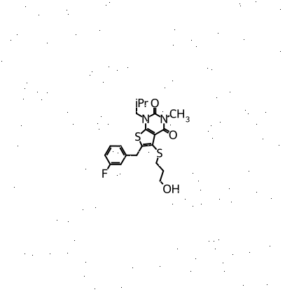 CC(C)Cn1c(=O)n(C)c(=O)c2c(SCCCO)c(Cc3cccc(F)c3)sc21